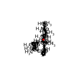 CC(C)OP(=S)(OC(C)C)SCCNS(=O)(=O)c1ccccc1.CCOP(=S)(NC(C)CC)Oc1cc(C)ccc1[N+](=O)[O-].C[C@H](NC(=O)[C@H](C)NC(=O)[C@@H](N)CCP(C)(=O)O)C(=O)O